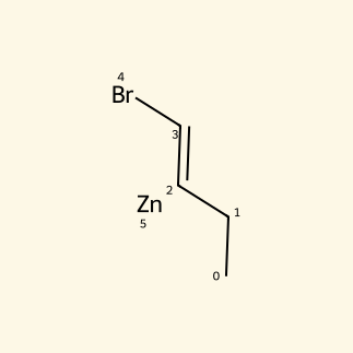 CC/C=C/Br.[Zn]